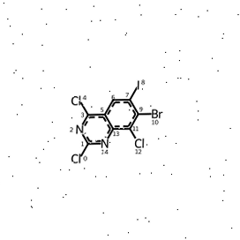 Clc1nc(Cl)c2cc(I)c(Br)c(Cl)c2n1